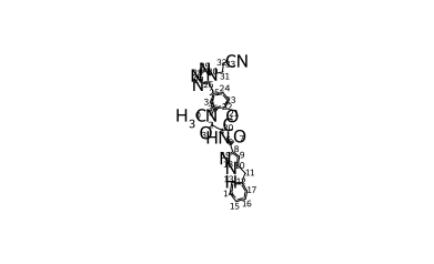 CN1C(=O)C(NC(=O)c2cc(Cc3ccccc3)[nH]n2)COc2ccc(-c3nnnn3CCC#N)cc21